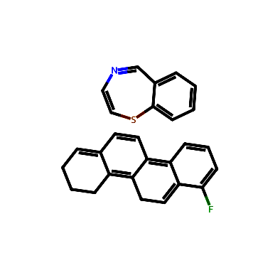 C1=CSc2ccccc2C=N1.Fc1cccc2c1=CCc1c3c(ccc1=2)=CCCC3